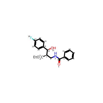 CCOC(=O)[C@H](CNC(=O)c1ccccc1)[C@H](O)c1ccc(F)cc1